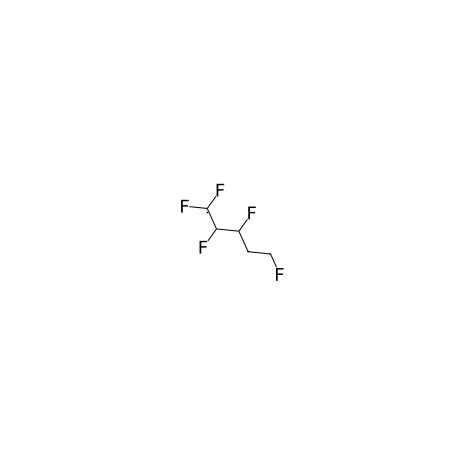 FCCC(F)C(F)[C](F)F